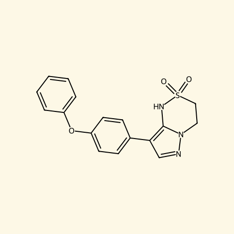 O=S1(=O)CCn2ncc(-c3ccc(Oc4ccccc4)cc3)c2N1